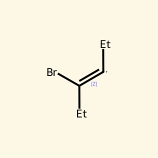 CC/[C]=C(\Br)CC